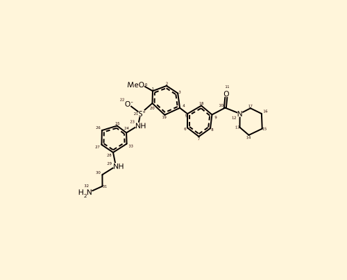 COc1ccc(-c2cccc(C(=O)N3CCCCC3)c2)cc1[S+]([O-])Nc1cccc(NCCN)c1